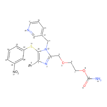 CC(C)c1nc(COCCOC(N)=O)n(Cc2cccnc2)c1Sc1cccc([N+](=O)[O-])c1